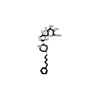 CSC1O[C@H]([C@H](NC(=O)[C@@H]2CC[C@H](CCCCCc3ccccc3)CCN2)[C@H](C)Cl)[C@@H](O)C(O)[C@H]1O